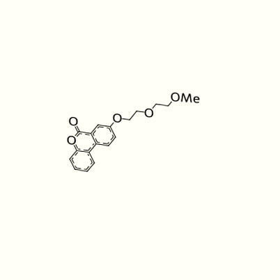 COCCOCCOc1ccc2c(c1)c(=O)oc1ccccc12